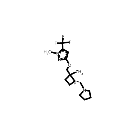 Cn1nc(OCC2(C)CC[C@H]2CN2CCCC2)cc1C(F)(F)F